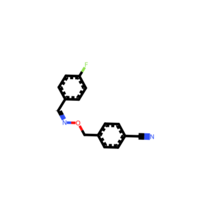 N#Cc1ccc(CO/N=[C]\c2ccc(F)cc2)cc1